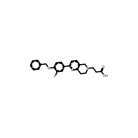 O=C(O)CCN1CCc2nc(-c3ccc(OCc4ccccc4)c(F)c3)ccc2C1